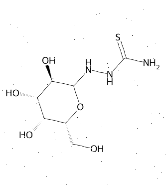 NC(=S)NNC1O[C@H](CO)[C@H](O)[C@H](O)[C@H]1O